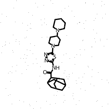 O=C(Nc1nnc(N2CCC(N3CCCCC3)CC2)s1)C1C2CC3CC(C2)CC1C3